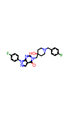 O=c1c2cnn(-c3ccc(F)cc3)c2ncn1CC1(O)CCN(Cc2ccc(F)cc2)CC1